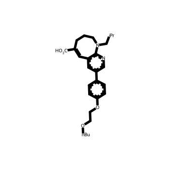 CCCCOCCOc1ccc(-c2cnc3c(c2)C=C(C(=O)O)CCCN3CC(C)C)cc1